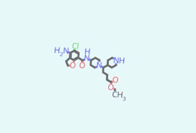 CCOC(=O)CCCC(C1CCNCC1)N1CCC(NC(=O)c2cc(Cl)c(N)c3c2OCC3)CC1